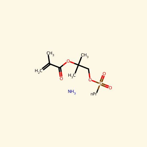 C=C(C)C(=O)OC(C)(C)COS(=O)(=O)CCC.N